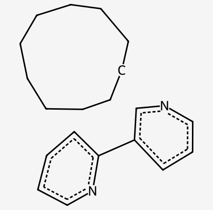 C1CCCCCCCCC1.c1ccc(-c2cccnc2)nc1